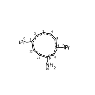 CC(C)c1ccccc(C(C)C)cc(N)cc1